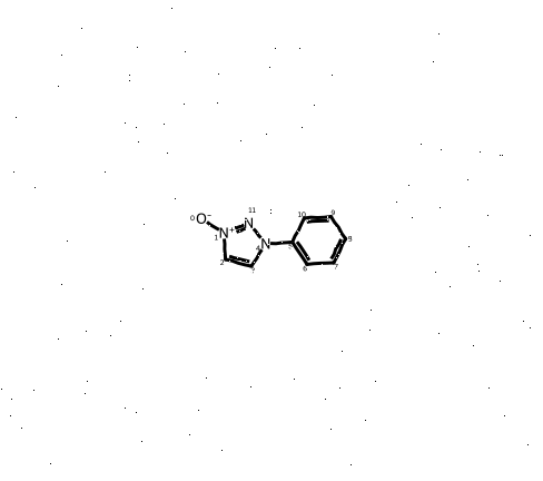 [O-][n+]1ccn(-c2ccccc2)n1